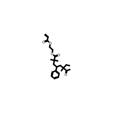 C=CC(=O)OCCOC(=O)C(C)(C)CC(CC(C)(CC)C(C)=O)c1ccccc1